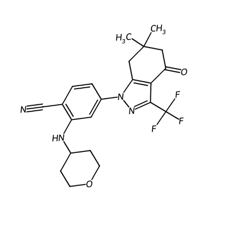 CC1(C)CC(=O)c2c(C(F)(F)F)nn(-c3ccc(C#N)c(NC4CCOCC4)c3)c2C1